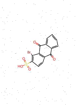 O=C1c2ccccc2C(=O)c2c1ccc(S(=O)(=O)O)c2Br